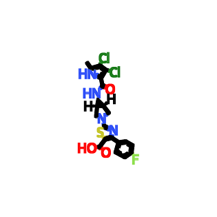 Cc1[nH]c(C(=O)N[C@@H]2[C@@H]3CN(c4nc(-c5ccc(F)cc5)c(C(=O)O)s4)C[C@@H]32)c(Cl)c1Cl